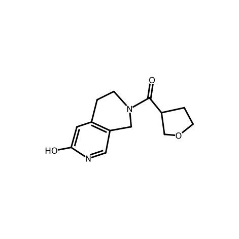 O=C(C1CCOC1)N1CCc2cc(O)ncc2C1